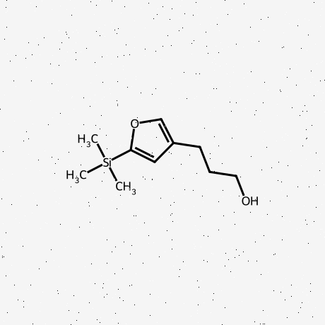 C[Si](C)(C)c1cc(CCCO)co1